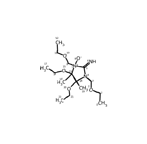 CCOCN1C(=N)[N+]([O-])(COCC)C(C)(OCC)C1(C)OCC